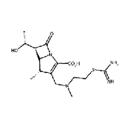 C[C@H]1C(CN(C)CCSC(=N)N)=C(C(=O)O)N2C(=O)[C@H]([C@@H](C)O)C12